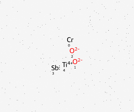 [Cr].[O-2].[O-2].[Sb].[Ti+4]